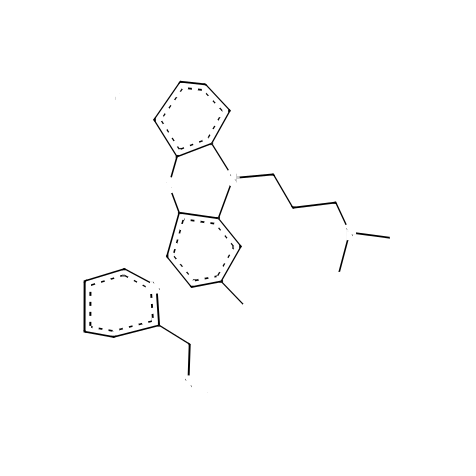 CN(C)CCCN1c2ccccc2Sc2ccc(Cl)cc21.Cl.NCc1ccccn1